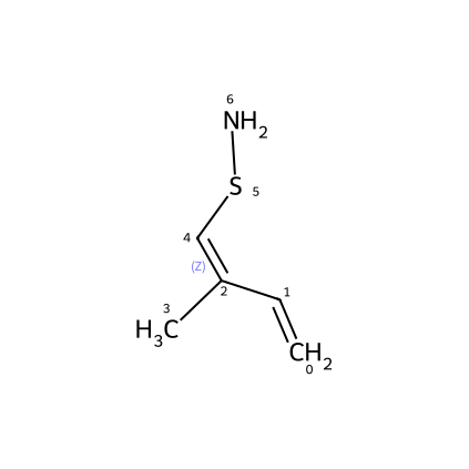 C=C/C(C)=C\SN